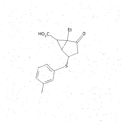 CCC12C(=O)CC(Sc3cccc(C)c3)C1C2C(=O)O